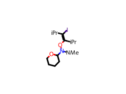 CNN(O/C(=C(/I)C(C)C)C(C)C)C1CCCCO1